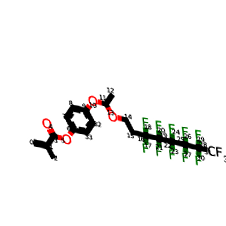 C=C(C)C(=O)Oc1ccc(OC(C)OCCC(F)(F)C(F)(F)C(F)(F)C(F)(F)C(F)(F)C(F)(F)F)cc1